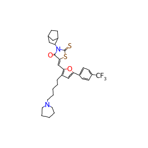 O=C1/C(=C/c2oc(-c3ccc(C(F)(F)F)cc3)cc2CCCCCN2CCCCC2)SC(=S)N1C1CC2CCC1C2